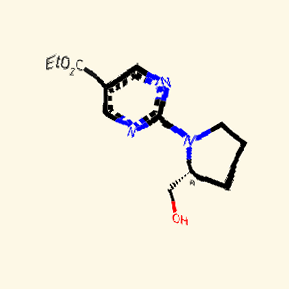 CCOC(=O)c1cnc(N2CCC[C@@H]2CO)nc1